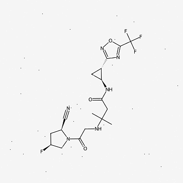 CC(C)(CC(=O)N[C@H]1C[C@@H]1c1noc(C(F)(F)F)n1)NCC(=O)N1C[C@@H](F)C[C@H]1C#N